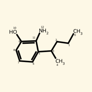 CCCC(C)c1cccc(O)c1N